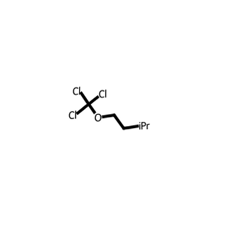 CC(C)CCOC(Cl)(Cl)Cl